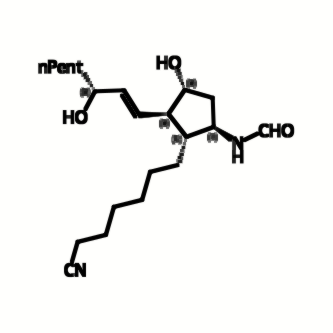 CCCCC[C@@H](O)C=C[C@@H]1[C@@H](CCCCCCC#N)[C@H](NC=O)C[C@H]1O